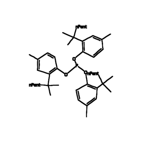 CCCCCC(C)(C)c1cc(C)ccc1OP(Oc1ccc(C)cc1C(C)(C)CCCCC)Oc1ccc(C)cc1C(C)(C)CCCCC